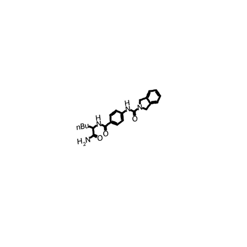 CCCCC(NC(=O)c1ccc(NC(=O)N2Cc3ccccc3C2)cc1)C(N)=O